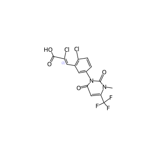 Cn1c(C(F)(F)F)cc(=O)n(-c2ccc(Cl)c(/C=C(\Cl)C(=O)O)c2)c1=O